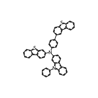 c1ccc(-n2c3ccccc3c3ccc(N(c4ccc(-c5ccc6sc7ccccc7c6c5)cc4)c4ccc5c(c4)sc4ccccc45)cc32)cc1